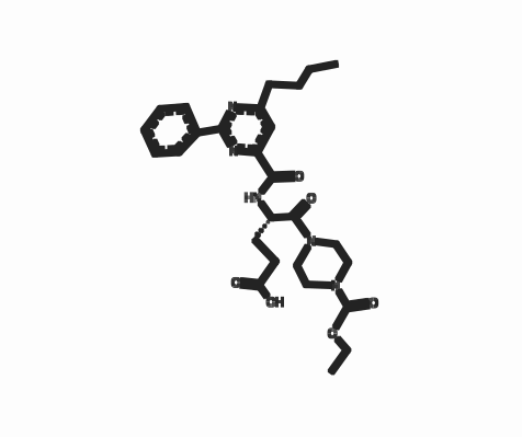 CCCCc1cc(C(=O)N[C@@H](CCC(=O)O)C(=O)N2CCN(C(=O)OCC)CC2)nc(-c2ccccc2)n1